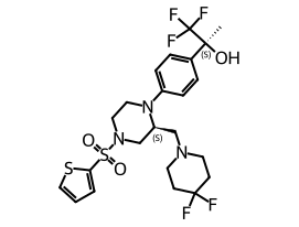 C[C@](O)(c1ccc(N2CCN(S(=O)(=O)c3cccs3)C[C@@H]2CN2CCC(F)(F)CC2)cc1)C(F)(F)F